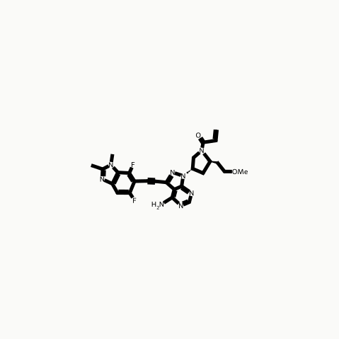 C=CC(=O)N1C[C@@H](n2nc(C#Cc3c(F)cc4nc(C)n(C)c4c3F)c3c(N)ncnc32)C[C@@H]1CCOC